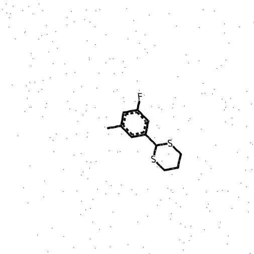 Cc1cc(F)cc(C2SCCCS2)c1